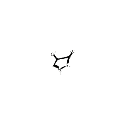 ClC1C=NSC1Cl